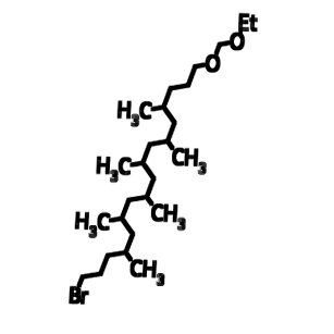 CCOCOCCCC(C)CC(C)CC(C)CC(C)CC(C)CC(C)CCCBr